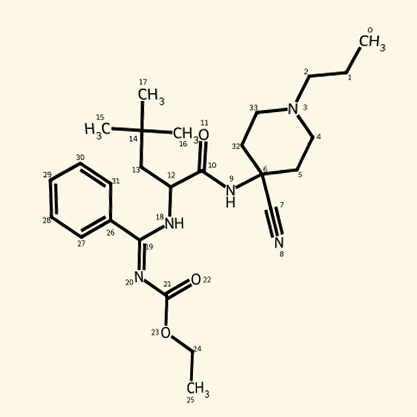 CCCN1CCC(C#N)(NC(=O)C(CC(C)(C)C)N/C(=N\C(=O)OCC)c2ccccc2)CC1